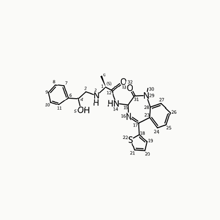 C[C@H](NCC(O)c1ccccc1)C(=O)NC1N=C(c2cccs2)c2ccccc2N(C)C1=O